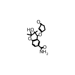 CC1(C)Oc2ccc(C(N)=O)cc2C(OC2=CC(=O)CC2)C1(C)O